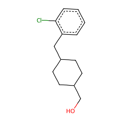 OCC1CCC(Cc2ccccc2Cl)CC1